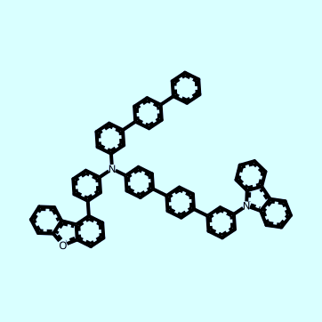 c1ccc(-c2ccc(-c3cccc(N(c4ccc(-c5ccc(-c6cccc(-n7c8ccccc8c8ccccc87)c6)cc5)cc4)c4cccc(-c5cccc6oc7ccccc7c56)c4)c3)cc2)cc1